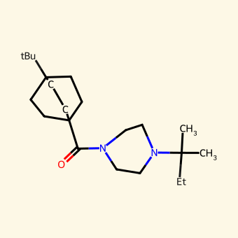 CCC(C)(C)N1CCN(C(=O)C23CCC(C(C)(C)C)(CC2)CC3)CC1